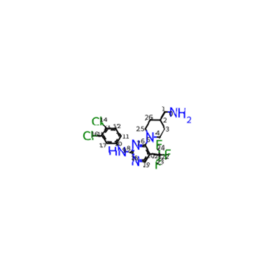 NCC1CCN(c2nc(Nc3ccc(Cl)c(Cl)c3)ncc2C(F)(F)F)CC1